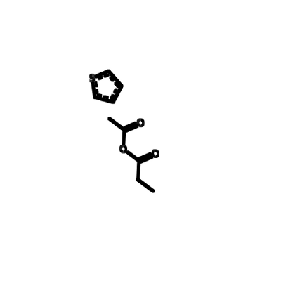 CCC(=O)OC(C)=O.c1ccsc1